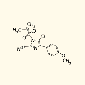 COc1ccc(-c2nc(C#N)n(S(=O)(=O)N(C)C)c2Cl)cc1